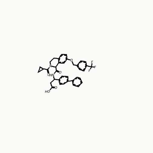 O=C(O)CC(NC(=O)C1c2cc(OCc3ccc(C(F)(F)F)cc3)ccc2CCN1C(=O)C1CC1)c1ccc(-c2ccccc2)cc1